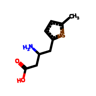 Cc1ccc(CC(N)CC(=O)O)s1